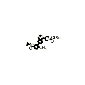 Cc1ccc(C(=O)NC2CC2)cc1-c1ccc2c(C3CCN(C(=O)OC(C)(C)C)CC3)nncc2c1